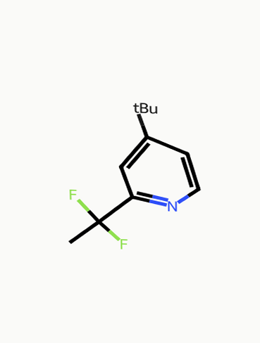 CC(C)(C)c1ccnc(C(C)(F)F)c1